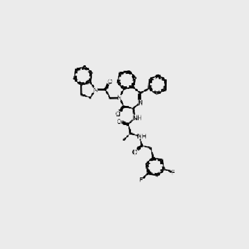 C[C@H](NC(=O)Cc1cc(F)cc(F)c1)C(=O)NC1N=C(c2ccccc2)c2ccccc2N(CC(=O)N2CCc3ccccc32)C1=O